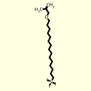 C=C(C)COCCCCCCCCCCCCCCC[Si](I)(I)I